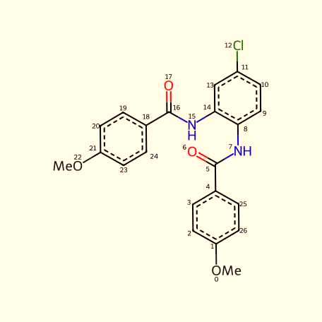 COc1ccc(C(=O)Nc2ccc(Cl)cc2NC(=O)c2ccc(OC)cc2)cc1